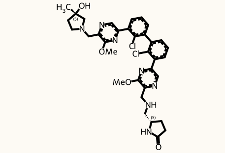 COc1nc(-c2cccc(-c3cccc(-c4cnc(CN5CC[C@](C)(O)C5)c(OC)n4)c3Cl)c2Cl)cnc1CNC[C@@H]1CCC(=O)N1